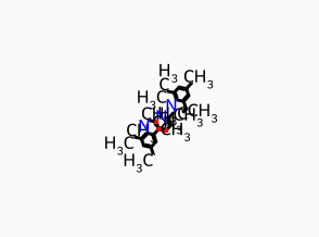 CCc1cc(C(C)C)c(N=C(C)c2cccc(C(C)=Nc3c(C(C)C)cc(CC)cc3C(C)C)n2)c(C(C)C)c1